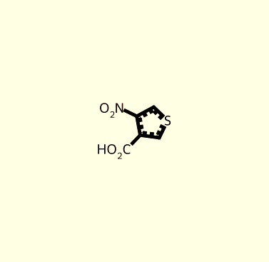 O=C(O)c1cscc1[N+](=O)[O-]